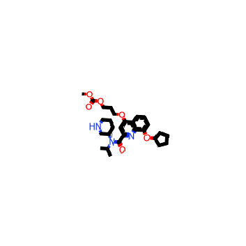 COC(=O)OCCCOc1cc(C(=O)N(C(C)C)[C@@H]2CCCNC2)nc2c(OC3CCCC3)cccc12